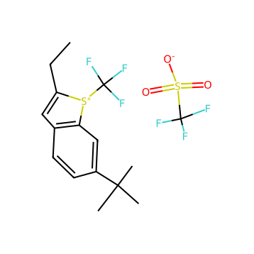 CCc1cc2ccc(C(C)(C)C)cc2[s+]1C(F)(F)F.O=S(=O)([O-])C(F)(F)F